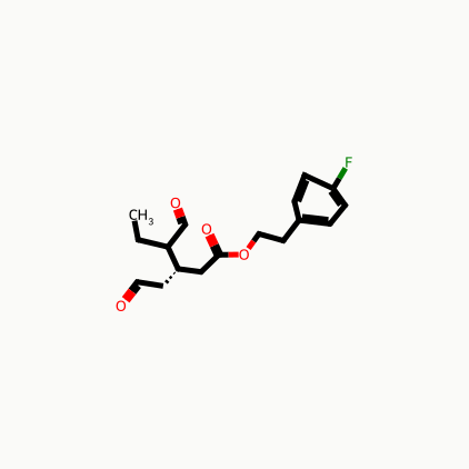 CCC(C=O)[C@@H](CC=O)CC(=O)OCCc1ccc(F)cc1